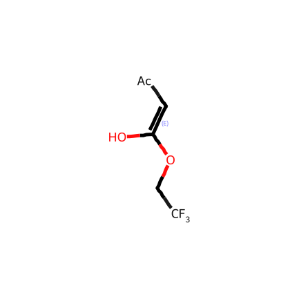 CC(=O)/C=C(\O)OCC(F)(F)F